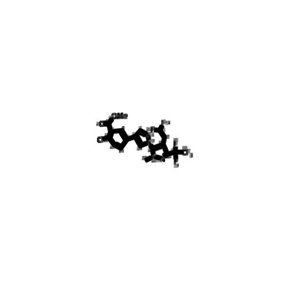 COC(=O)c1cc(-c2cnn(-c3c(CC(F)F)c(C(F)(F)C(F)(F)F)nn3C)c2)ccc1Cl